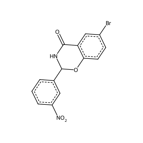 O=C1NC(c2cccc([N+](=O)[O-])c2)Oc2ccc(Br)cc21